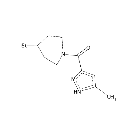 [CH2]CC1CCN(C(=O)c2cc(C)[nH]n2)CC1